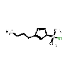 CCCCC1=CC([Si](C)(C)Cl)C=C1